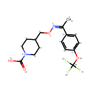 C/C(=N/OCC1CCN(C(=O)O)CC1)c1ccc(OC(F)(F)F)cc1